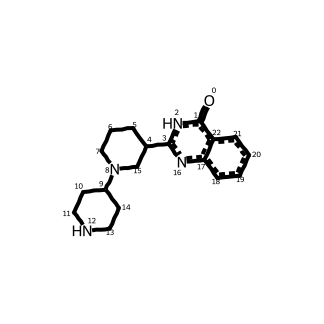 O=c1[nH]c(C2CCCN(C3CCNCC3)C2)nc2ccccc12